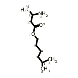 CC(C)CCCCOC(=O)CC(C)N